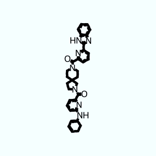 O=C(c1cccc(NC2=CC=CCC2)n1)N1CCC2(CCN(C(=O)c3cccc(-c4nc5ccccc5[nH]4)n3)CC2)C1